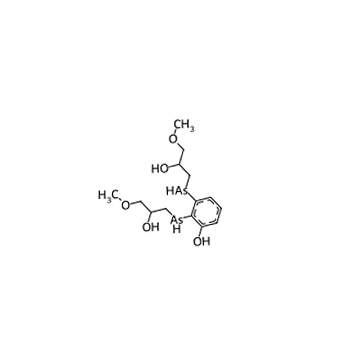 COCC(O)C[AsH]c1cccc(O)c1[AsH]CC(O)COC